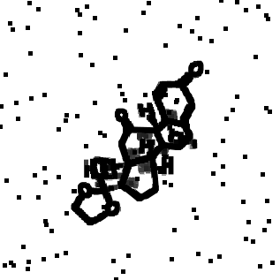 CC1([C@H]2CC[C@H]3[C@@H]4CCC5=CC(=O)C=C[C@]5(C)[C@H]4C(=O)C[C@]23C)OCCO1